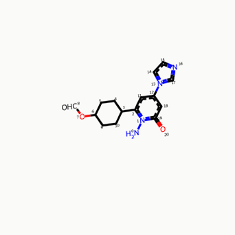 Nn1c(C2CCC(OC=O)CC2)cc(-n2ccnc2)cc1=O